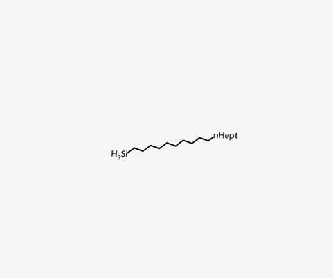 CCCCCCCCCCCCCCCCC[SiH3]